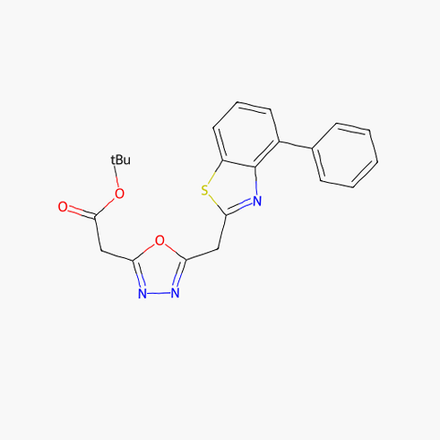 CC(C)(C)OC(=O)Cc1nnc(Cc2nc3c(-c4ccccc4)cccc3s2)o1